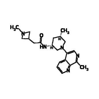 Cc1ncc(N2C[C@@H](C)C[C@@H](NC(=O)CC3CN(C)C3)C2)c2cccnc12